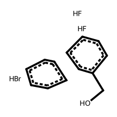 Br.F.F.OCc1ccccc1.c1ccccc1